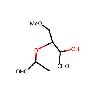 COCC(OC(C)C=O)C(O)C=O